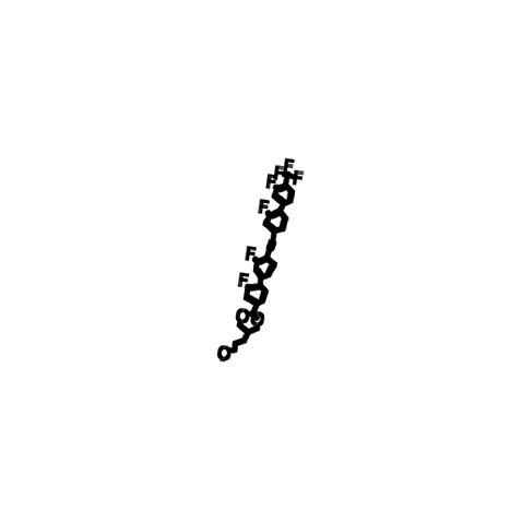 COCCCC1COC(c2ccc(-c3ccc(C#Cc4ccc(-c5ccc(C(F)(F)F)c(F)c5)c(F)c4)c(F)c3)c(F)c2)OC1